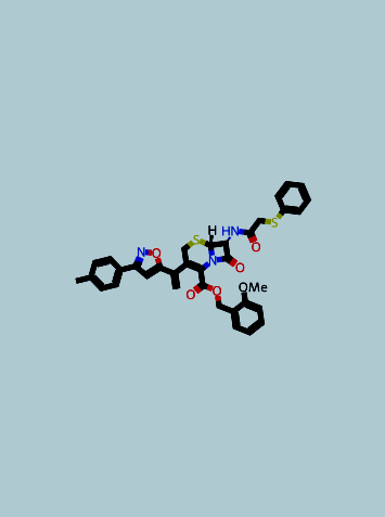 C=C(C1=C(C(=O)OCc2ccccc2OC)N2C(=O)[C@@H](NC(=O)CSc3ccccc3)[C@H]2SC1)c1cc(-c2ccc(C)cc2)no1